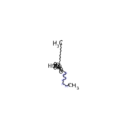 CC/C=C\C/C=C\C/C=C\C/C=C\C/C=C\C/C=C\CCC(=O)OC[C@H](COP(=O)(O)O)OC(=O)CCCCCCCCCCCCCC